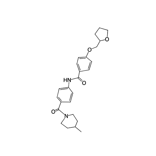 CC1CCN(C(=O)c2ccc(NC(=O)c3ccc(OCC4CCCO4)cc3)cc2)CC1